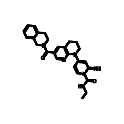 CCNC(=O)n1ccc(N2CCCc3cc(C(=O)N4CCc5ccccc5C4)cnc32)cc1=N